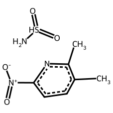 Cc1ccc([N+](=O)[O-])nc1C.N[SH](=O)=O